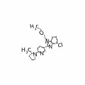 CCOCCn1c(-c2ccc(N3CCCC3C)nc2)nc2c(Cl)cccc21